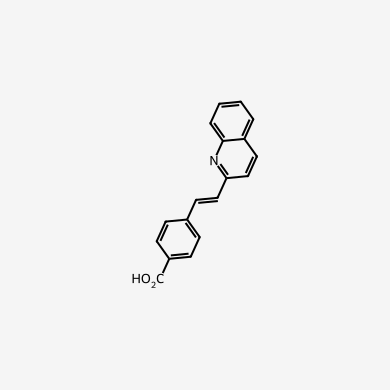 O=C(O)c1ccc(C=Cc2ccc3ccccc3n2)cc1